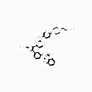 CC(C)c1nc(-c2cccc(NS(=O)(=O)c3c(F)cccc3F)c2)c(-c2ccnc(Nc3ccc(N4CCN(CCO)CC4)nc3)n2)s1